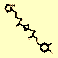 O=C(COc1ccc(Cl)c(F)c1)NC12CC(C(=O)NCCc3cnc[nH]3)(C1)C2